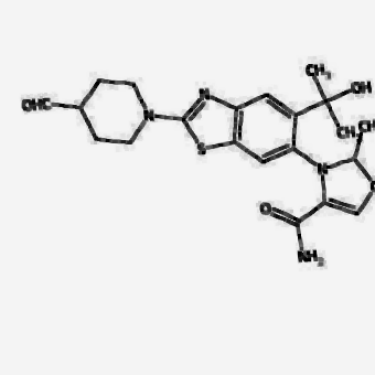 CC1OC=C(C(N)=O)N1c1cc2sc(N3CCC(C=O)CC3)nc2cc1C(C)(C)O